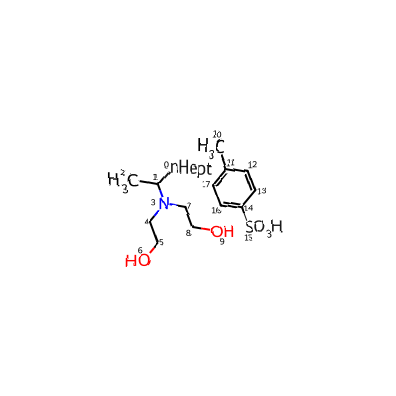 CCCCCCCC(C)N(CCO)CCO.Cc1ccc(S(=O)(=O)O)cc1